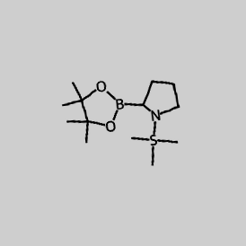 CC1(C)OB(C2CCCN2S(C)(C)C)OC1(C)C